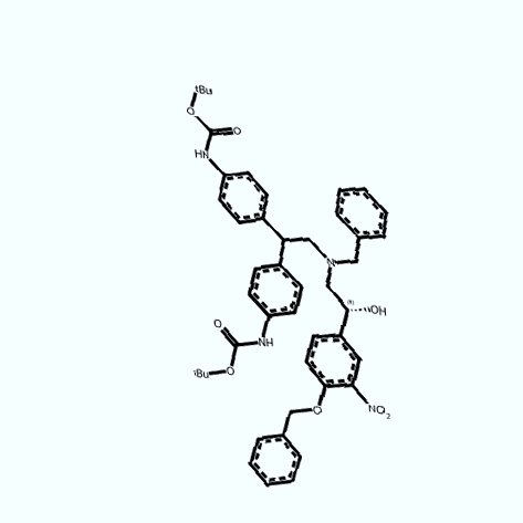 CC(C)(C)OC(=O)Nc1ccc(C(CN(Cc2ccccc2)C[C@H](O)c2ccc(OCc3ccccc3)c([N+](=O)[O-])c2)c2ccc(NC(=O)OC(C)(C)C)cc2)cc1